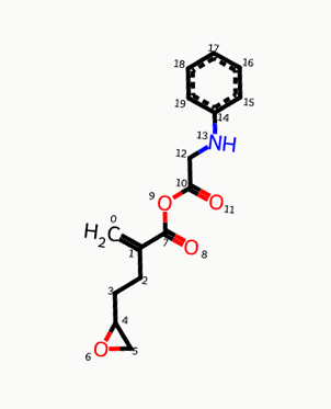 C=C(CCC1CO1)C(=O)OC(=O)CNc1ccccc1